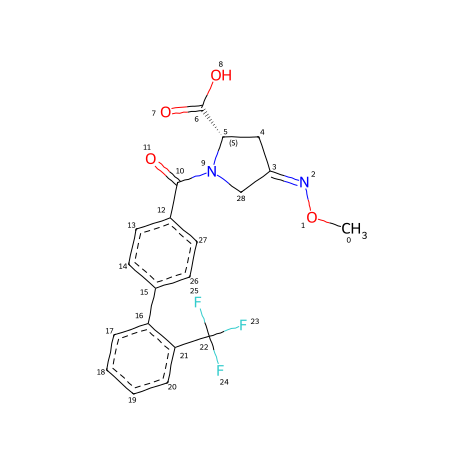 CON=C1C[C@@H](C(=O)O)N(C(=O)c2ccc(-c3ccccc3C(F)(F)F)cc2)C1